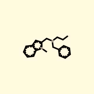 [CH2]CCN(Cc1ccccc1)Cc1cc2ccccc2n1C